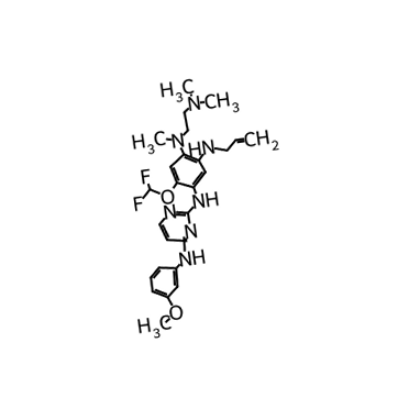 C=CCNc1cc(Nc2nccc(Nc3cccc(OC)c3)n2)c(OC(F)F)cc1N(C)CCN(C)C